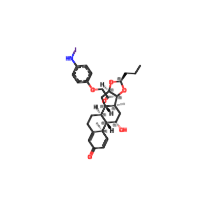 CCC[C@@H]1O[C@@H]2C[C@H]3[C@@H]4CCC5=CC(=O)C=C[C@]5(C)[C@H]4[C@@H](O)C[C@]3(C)[C@]2(C(=O)COc2ccc(NI)cc2)O1